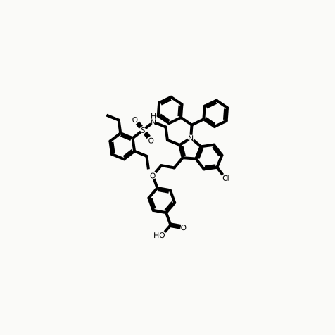 CCc1cccc(CC)c1S(=O)(=O)NCCc1c(CCOc2ccc(C(=O)O)cc2)c2cc(Cl)ccc2n1C(c1ccccc1)c1ccccc1